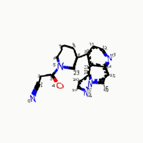 N#CCC(=O)N1CCCC(c2ccnc3ccn4nccc4c23)C1